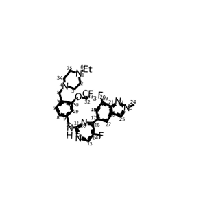 CCN1CCN(Cc2ccc(Nc3ncc(F)c(-c4cc(F)c5nn(C)cc5c4)n3)cc2OCC(F)(F)F)CC1